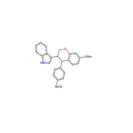 COc1ccc2c(c1)OCC(c1c[nH]c3ccccc13)C2c1ccc(NC(C)=O)cc1